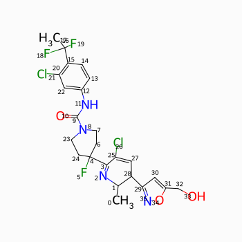 CC1N=C(C2(F)CCN(C(=O)Nc3ccc(C(C)(F)F)c(Cl)c3)CC2)C(Cl)=CC1c1cc(CO)on1